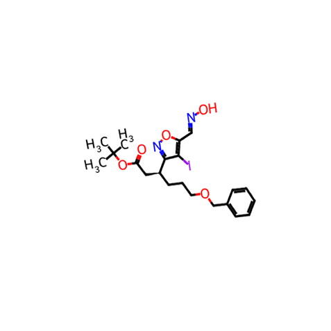 CC(C)(C)OC(=O)C[C@H](CCCOCc1ccccc1)c1noc(/C=N/O)c1I